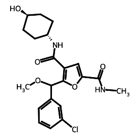 CNC(=O)c1cc(C(=O)N[C@H]2CC[C@H](O)CC2)c(C(OC)c2cccc(Cl)c2)o1